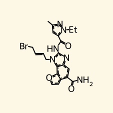 CCn1nc(C)cc1C(=O)Nc1nc2cc(C(N)=O)c3ccoc3c2n1CC=CCBr